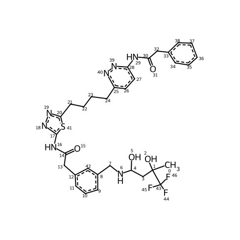 CC(O)(CC(O)NCc1cccc(CC(=O)Nc2nnc(CCCCc3ccc(NC(=O)Cc4ccccc4)nn3)s2)c1)C(F)(F)F